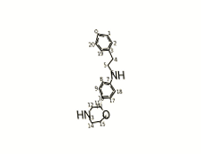 c1ccc(CCNc2ccc([C@H]3CNCCO3)cc2)cc1